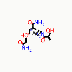 C/C(=C\CO)C(N)=O.C=C(CO)C(N)=O.C=CC(N)=O.CC(C)=O.CC(C)=O